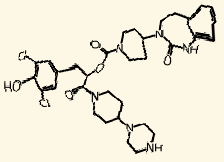 O=C(OC(Cc1cc(Cl)c(O)c(Cl)c1)C(=O)N1CCC(N2CCNCC2)CC1)N1CCC(N2CCc3ccccc3NC2=O)CC1